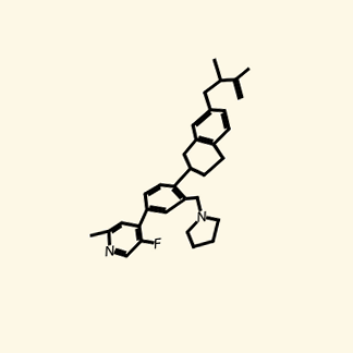 C=C(C)C(C)Cc1ccc2c(c1)CC(c1ccc(-c3cc(C)ncc3F)cc1CN1CCCC1)CC2